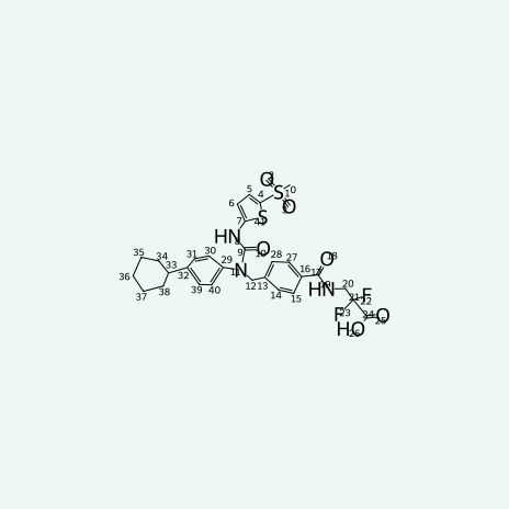 CS(=O)(=O)c1ccc(NC(=O)N(Cc2ccc(C(=O)NCC(F)(F)C(=O)O)cc2)c2ccc(C3CCCCC3)cc2)s1